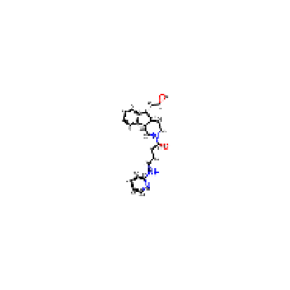 O=CC[C@H]1c2ccccc2C2CN(C(=O)CCCNc3ccccn3)CCC21